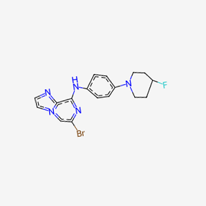 FC1CCN(c2ccc(Nc3nc(Br)cn4ccnc34)cc2)CC1